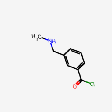 CNCc1cccc(C(=O)Cl)c1